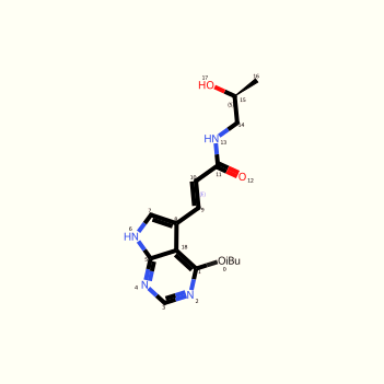 CC(C)COc1ncnc2[nH]cc(/C=C/C(=O)NC[C@H](C)O)c12